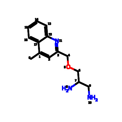 Cc1cc(COCC(N)CN)nc2ccccc12